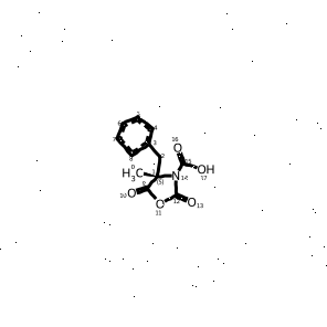 C[C@]1(Cc2ccccc2)C(=O)OC(=O)N1C(=O)O